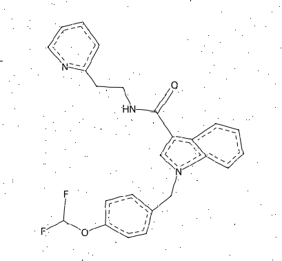 O=C(NCCc1ccccn1)c1cn(Cc2ccc(OC(F)F)cc2)c2ccccc12